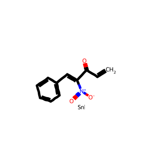 C=CC(=O)C(=Cc1ccccc1)[N+](=O)[O-].[Sn]